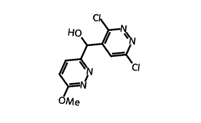 COc1ccc(C(O)c2cc(Cl)nnc2Cl)nn1